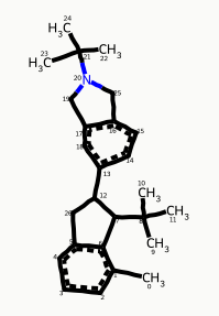 Cc1cccc2c1C(C(C)(C)C)C(c1ccc3c(c1)CN(C(C)(C)C)C3)C2